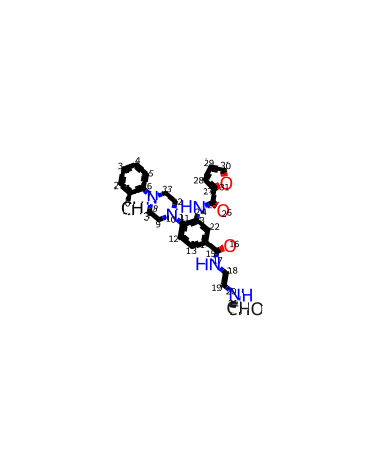 Cc1ccccc1N1CCN(c2ccc(C(=O)NCCNC=O)cc2NC(=O)c2ccco2)CC1